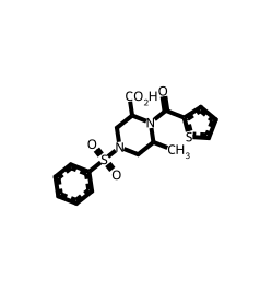 CC1CN(S(=O)(=O)c2ccccc2)CC(C(=O)O)N1C(=O)c1cccs1